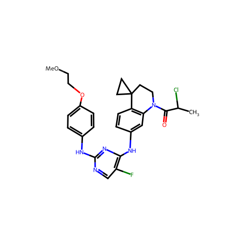 COCCOc1ccc(Nc2ncc(F)c(Nc3ccc4c(c3)N(C(=O)C(C)Cl)CCC43CC3)n2)cc1